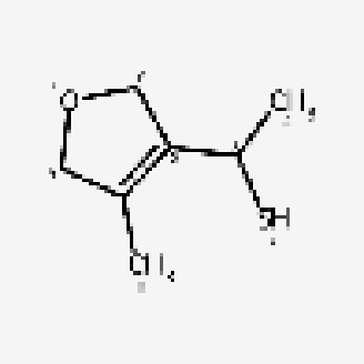 CC1=C(C(C)S)COC1